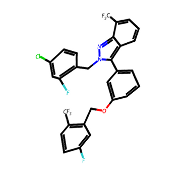 Fc1ccc(C(F)(F)F)c(COc2cccc(-c3c4cccc(C(F)(F)F)c4nn3Cc3ccc(Cl)cc3F)c2)c1